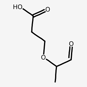 CC(C=O)OCCC(=O)O